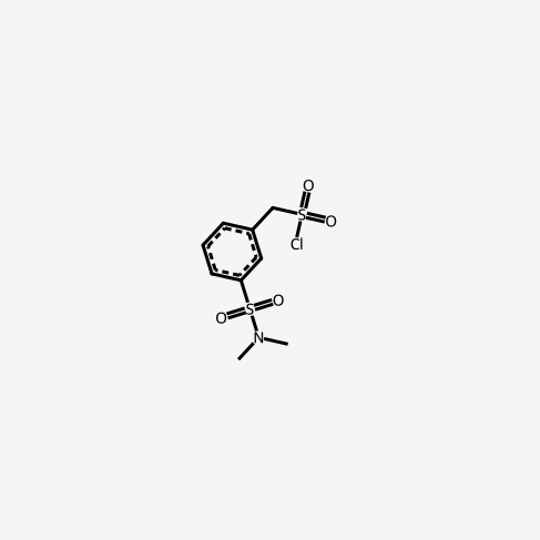 CN(C)S(=O)(=O)c1cccc(CS(=O)(=O)Cl)c1